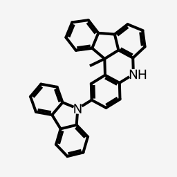 CC12c3cc(-n4c5ccccc5c5ccccc54)ccc3Nc3cccc(c31)-c1ccccc12